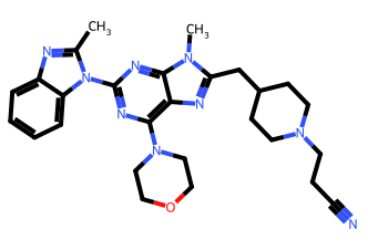 Cc1nc2ccccc2n1-c1nc(N2CCOCC2)c2nc(CC3CCN(CCC#N)CC3)n(C)c2n1